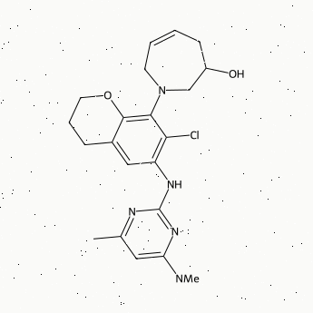 CNc1cc(C)nc(Nc2cc3c(c(N4CC=CCC(O)C4)c2Cl)OCCC3)n1